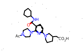 CC(=O)N1CCN(c2nc(N3CCCC(CC(=O)O)C3)ccc2C(=O)NC2CCCCC2)CC1